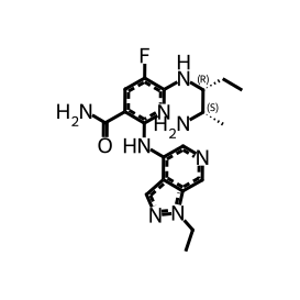 CC[C@@H](Nc1nc(Nc2cncc3c2cnn3CC)c(C(N)=O)cc1F)[C@H](C)N